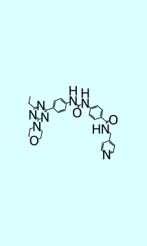 CCc1nc(-c2ccc(NC(=O)Nc3ccc(C(=O)NCc4ccncc4)cc3)cc2)nc(N2CCOCC2)n1